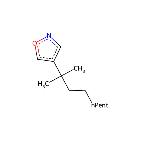 CCCCCCCC(C)(C)c1cnoc1